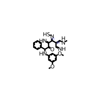 CN/C=C(C=N)/C(=N/S)C(=N)C(=O)C(Nc1cc(OC)cc(OC)c1)c1ccccc1